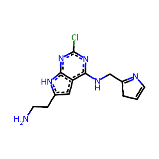 NCCc1cc2c(NCC3=NC=CC3)nc(Cl)nc2[nH]1